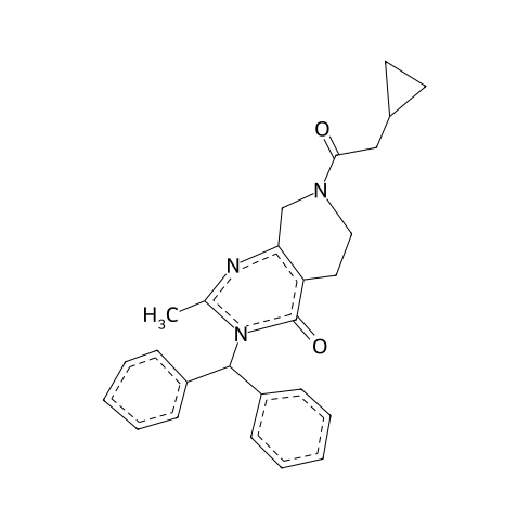 Cc1nc2c(c(=O)n1C(c1ccccc1)c1ccccc1)CCN(C(=O)CC1CC1)C2